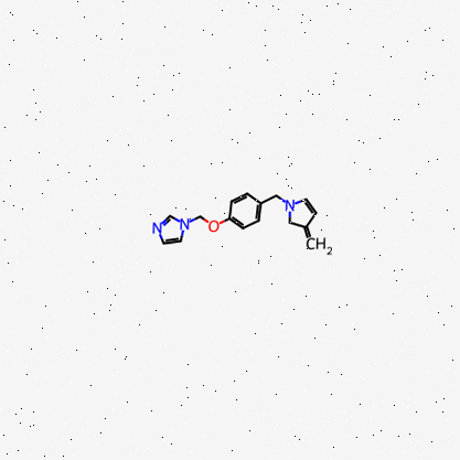 C=C1C=CN(Cc2ccc(OCn3ccnc3)cc2)C1